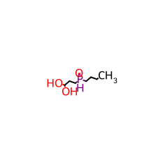 CCCC[PH](=O)CCC(O)O